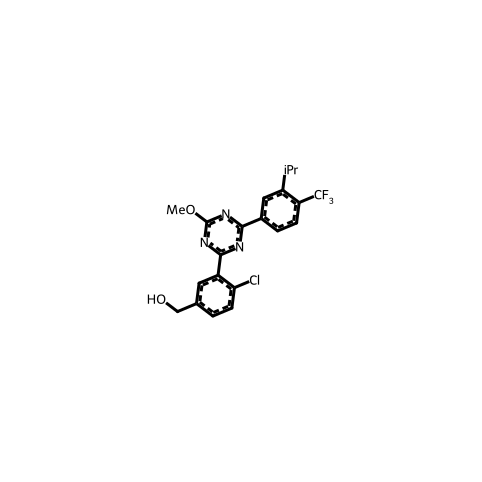 COc1nc(-c2ccc(C(F)(F)F)c(C(C)C)c2)nc(-c2cc(CO)ccc2Cl)n1